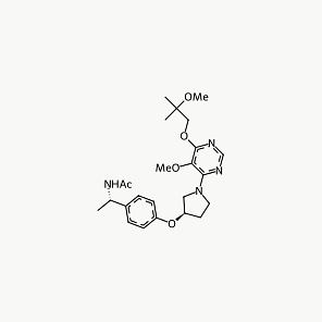 COc1c(OCC(C)(C)OC)ncnc1N1CC[C@@H](Oc2ccc([C@H](C)NC(C)=O)cc2)C1